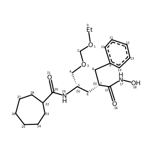 CCOCOC[C@H](C[C@H](Cc1ccccc1)C(=O)NO)NC(=O)C1CCCCCC1